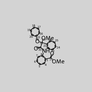 COC(=O)c1ccccc1NC(=O)C(OC)(Oc1ccccc1)c1ccccc1